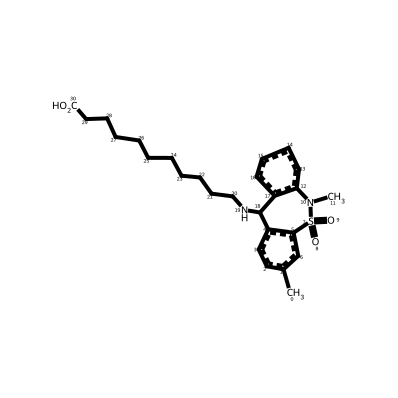 Cc1ccc2c(c1)S(=O)(=O)N(C)c1ccccc1C2NCCCCCCCCCCC(=O)O